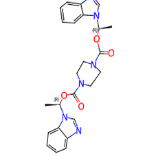 C[C@@H](OC(=O)N1CCN(C(=O)O[C@H](C)n2cnc3ccccc32)CC1)n1cnc2ccccc21